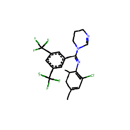 CC1=CC(Cl)=C(/N=C(\c2cc(C(F)(F)F)cc(C(F)(F)F)c2)N2C=NCCC2)C(C)C1